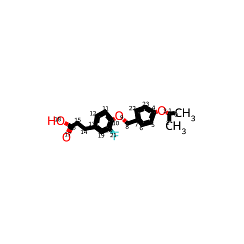 CC(C)Oc1ccc(COc2ccc(CCC(=O)O)cc2F)cc1